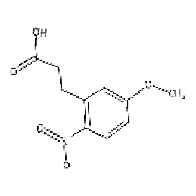 COc1ccc([N+](=O)[O-])c(CCC(=O)O)c1